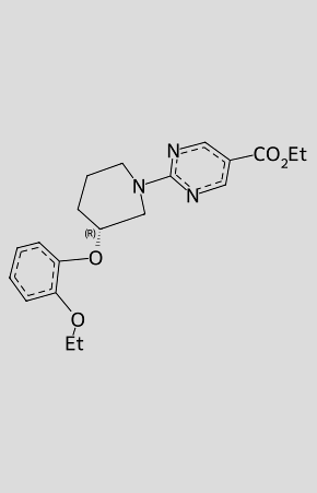 CCOC(=O)c1cnc(N2CCC[C@@H](Oc3ccccc3OCC)C2)nc1